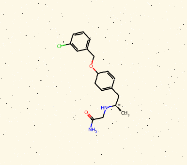 C[C@H](CC1=CCC(OCc2cccc(Cl)c2)C=C1)NCC(N)=O